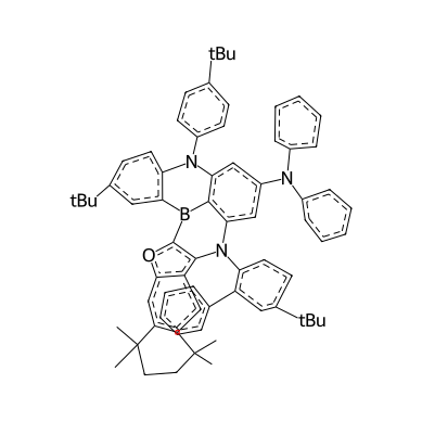 CC(C)(C)c1ccc(N2c3ccc(C(C)(C)C)cc3B3c4oc5cc6c(cc5c4N(c4ccc(C(C)(C)C)cc4-c4ccccc4)c4cc(N(c5ccccc5)c5ccccc5)cc2c43)C(C)(C)CCC6(C)C)cc1